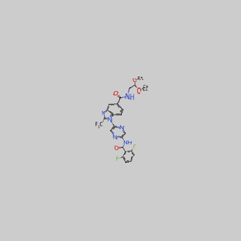 CCOC(CNC(=O)c1ccc2c(c1)nc(C(F)(F)F)n2-c1cnc(NC(=O)c2c(F)cccc2F)cn1)OCC